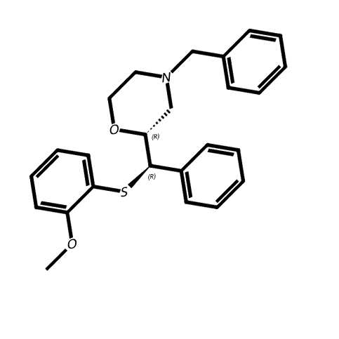 COc1ccccc1S[C@H](c1ccccc1)[C@H]1CN(Cc2ccccc2)CCO1